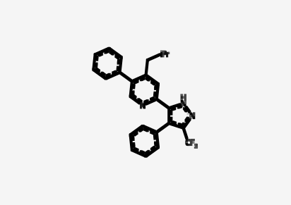 CC(C)Cc1cc(-c2[nH]nc(C(F)(F)F)c2-c2ccccc2)ncc1-c1ccccc1